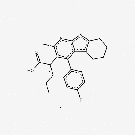 CCCC(C(=O)O)c1c(C)nc2sc3c(c2c1-c1ccc(F)cc1)CCCC3